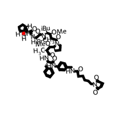 CC[C@H](C)[C@@H]([C@@H](CC(=O)N1CCC[C@H]1[C@H](OC)[C@@H](C)C(=O)N[C@@H](Cc1ccccc1)C(=O)Nc1ccc(CNC(=O)CCCCCN2C(=O)C=CC2=O)cc1)OC)N(C)C(=O)[C@@H](NC(=O)[C@H]1N[C@H]2CC[C@H]1[C@@H]2C)C(C)C